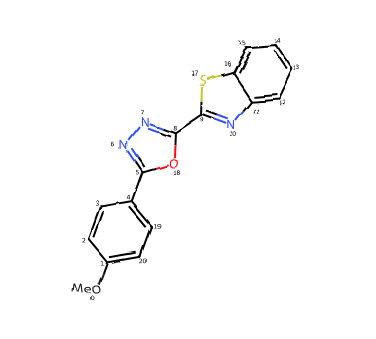 COc1ccc(-c2nnc(-c3nc4ccccc4s3)o2)cc1